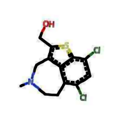 CN1CCc2c(Cl)cc(Cl)c3sc(CO)c(c23)C1